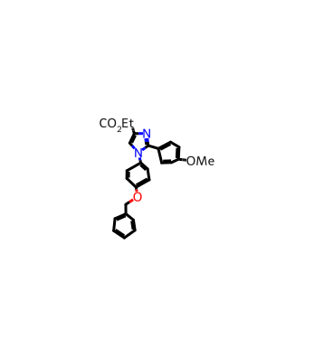 CCOC(=O)c1cn(-c2ccc(OCc3ccccc3)cc2)c(-c2ccc(OC)cc2)n1